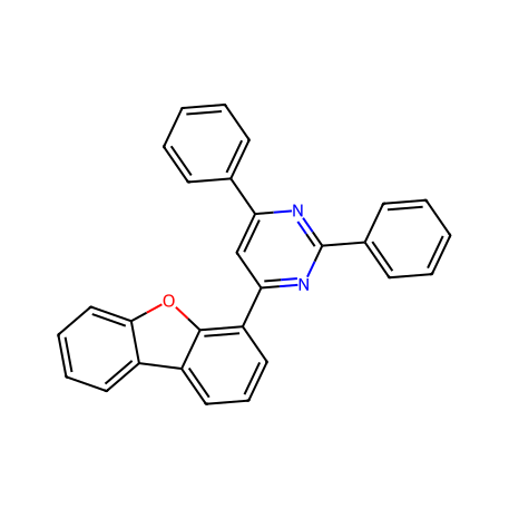 c1ccc(-c2cc(-c3cccc4c3oc3ccccc34)nc(-c3ccccc3)n2)cc1